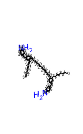 CCCCCCCCc1cc(Cc2ccc(N)cc2)ccc1CCCCCCCCCCCCCc1ccc(Cc2ccc(N)cc2)cc1CCCCCCCC